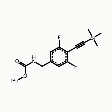 CC(C)(C)OC(=O)NCc1cc(F)c(C#C[Si](C)(C)C)c(F)c1